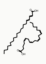 CCCCC/C=C\C/C=C\C/C=C\C/C=C\CCCC(=O)O.CCCCCCCCCCCCCCCC=CC=CC(=O)O